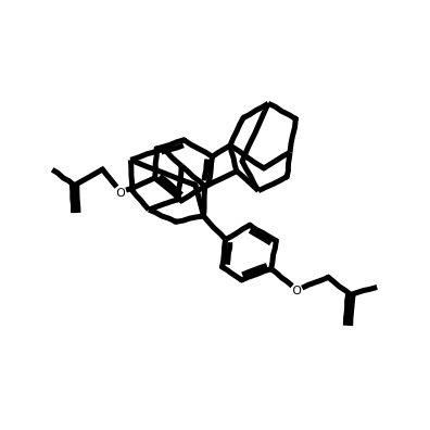 C=C(C)COc1ccc(C23CC4CC(CC(C4)C2C2C4CC5CC(C4)CC2(c2ccc(OCC(=C)C)cc2)C5)C3)cc1